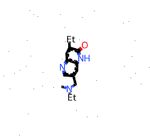 CCc1cc2ncc(CN(C)CC)cc2[nH]c1=O